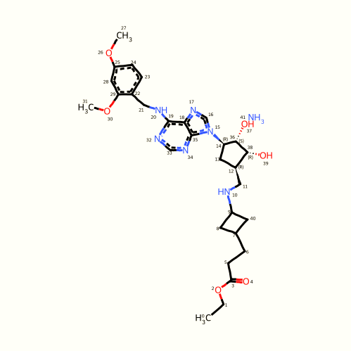 CCOC(=O)CCC1CC(NC[C@H]2C[C@@H](n3cnc4c(NCc5ccc(OC)cc5OC)ncnc43)[C@H](O)[C@@H]2O)C1.N